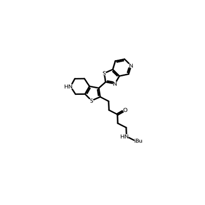 CCC(C)NCCC(=O)CCc1sc2c(c1-c1nc3cnccc3s1)CCNC2